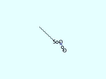 CCCCCCCCCCCCCCCCCSc1ccc(C(=O)/C=C/c2ccc(C(C)=O)cc2)cc1